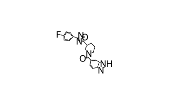 O=C(C1=CC2NC=NC2C=C1)N1CCCC(c2nc(-c3ccc(F)cc3)no2)C1